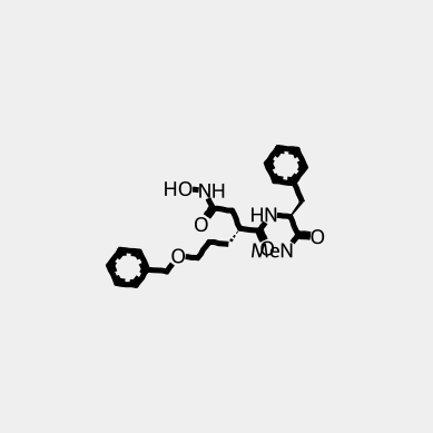 CNC(=O)[C@H](Cc1ccccc1)NC(=O)[C@H](CCCOCc1ccccc1)CC(=O)NO